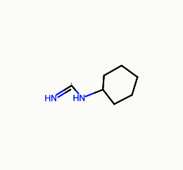 N=[C]NC1CCCCC1